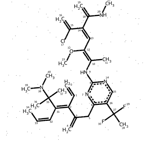 C=C/C(C(=C)Cc1nc(N/C(C)=C(/C=C(\C(=C)Cl)C(=C)NC)OC)ncc1C(C)(F)F)=C(/C=C\C)C(C)(C)N(C)C